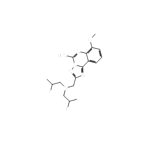 COc1cccc2c1nc(N)n1nc(CN(CC(C)F)CC(C)F)nc21